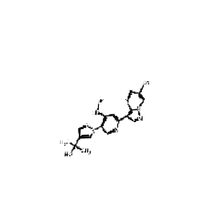 CC(C)Nc1cc(-c2cnn3cc(C#N)cnc23)ncc1-n1cc(C(C)(C)O)cn1